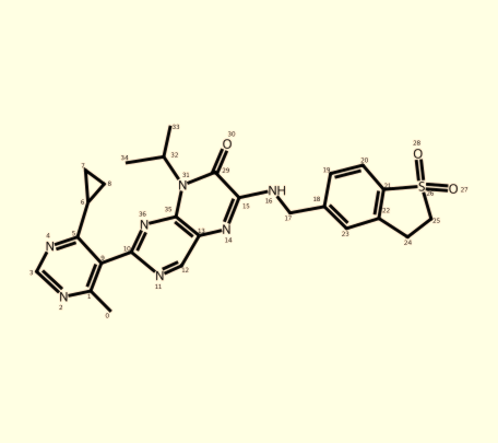 Cc1ncnc(C2CC2)c1-c1ncc2nc(NCc3ccc4c(c3)CCS4(=O)=O)c(=O)n(C(C)C)c2n1